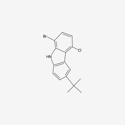 CC(C)(C)c1ccc2[nH]c3c(Br)ccc(Cl)c3c2c1